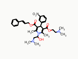 CC1=C(C(=O)OC/C=C/c2ccccc2)C(c2cccc([N+](=O)[O-])c2)C(C(=O)OCCN(C)C)=C(C)N1C(O)CN(C)C